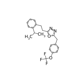 CC(C)c1ccccc1CCc1nnc(Cc2ccc(OC(F)(F)F)cc2)o1